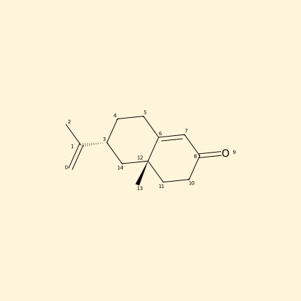 C=C(C)[C@@H]1CCC2=CC(=O)CC[C@]2(C)C1